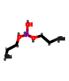 CC(C)(C)CCOP(O)OCCC(C)(C)C